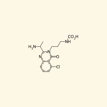 CC(N)c1nc2cccc(Cl)c2c(=O)n1CCCNC(=O)O